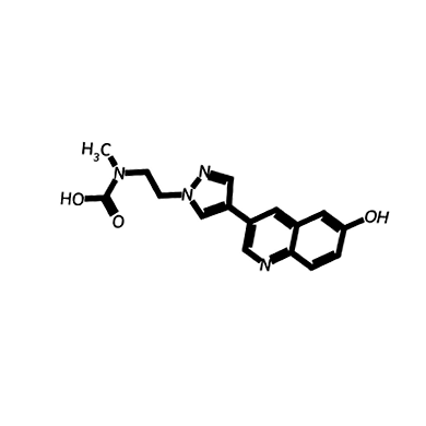 CN(CCn1cc(-c2cnc3ccc(O)cc3c2)cn1)C(=O)O